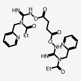 CCC(=O)N(Cc1ccccn1)C(=N)NOC(=O)CCC(=O)ONC(=N)N(Cc1ccccn1)C(=O)CC